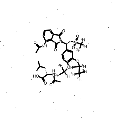 CC(=O)N[C@@H](CC(C)C)C(=O)O.[2H]C([2H])([2H])Oc1ccc([C@@H](CS(=O)(=O)C([2H])([2H])[2H])N2C(=O)c3cccc(NC(C)=O)c3C2=O)cc1OC([2H])([2H])C([2H])([2H])[2H]